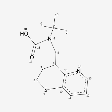 CC(C)(C)N(CC1CCSc2cccnc21)C(=O)O